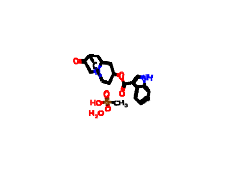 CS(=O)(=O)O.O.O=C(OC1CC2CC3CC(C1)N2CC3=O)c1c[nH]c2ccccc12